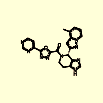 Cc1cccn2nc([C@@H]3c4nc[nH]c4CCN3C(=O)c3nnc(-c4ccncn4)o3)cc12